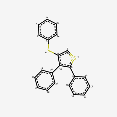 c1ccc(Sc2csc(-c3ccccc3)c2-c2ccccc2)cc1